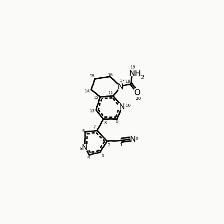 N#Cc1ccncc1-c1cnc2c(c1)CCCN2C(N)=O